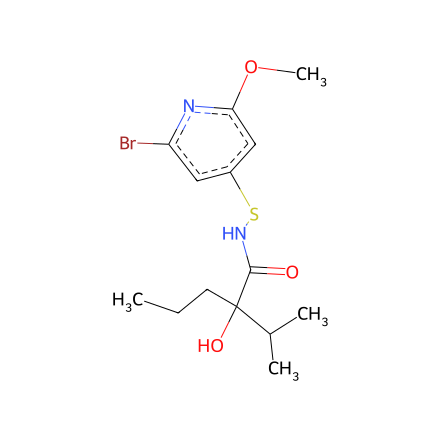 CCCC(O)(C(=O)NSc1cc(Br)nc(OC)c1)C(C)C